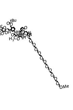 COCCOCCOCCOCCOCCOCCOCCOCCOCCOCCOCCOCCn1cc(CC(C(=O)NC(C(=O)N[C@@H](C)C(=O)Nc2ccc(COC(=O)C(C)(C)C)c(CC[C@@H]3O[C@H](C(=O)O)[C@@H](O)[C@H](O)[C@H]3O)c2)C(C)C)N2C(=O)C=CC2=O)nn1